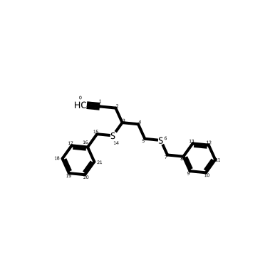 C#CCC(CCSCc1ccccc1)SCc1ccccc1